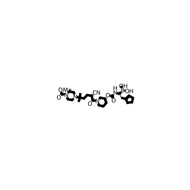 COC(=O)N1CCN(C(C)(C)CCC(C#N)C(=O)N2CCC[C@H](OC(=O)N[C@@H](CC3=CCCC3)B(O)O)C2)CC1